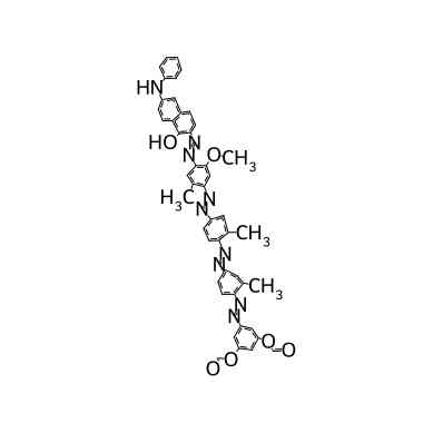 COc1cc(N=Nc2ccc(N=Nc3ccc(N=Nc4cc(OC=O)cc(OC=O)c4)c(C)c3)c(C)c2)c(C)cc1N=Nc1ccc2cc(Nc3ccccc3)ccc2c1O